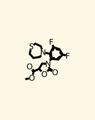 COC(=O)C1CN(c2cc(F)cc(F)c2N2CCCSCC2)C(=O)O1